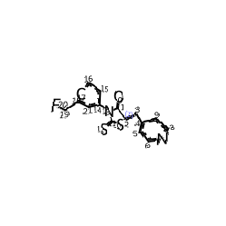 O=C1/C(=C/c2ccncc2)SC(=S)N1c1cccc(CF)c1